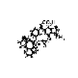 Cc1ccc([C@@H](CC(=O)O)c2cc(OC3CC3)c3c(c2)nnn3C)cc1CN1C[C@H]2CCCN2c2ncccc2S1(=O)=O